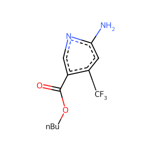 CCCCOC(=O)c1cnc(N)cc1C(F)(F)F